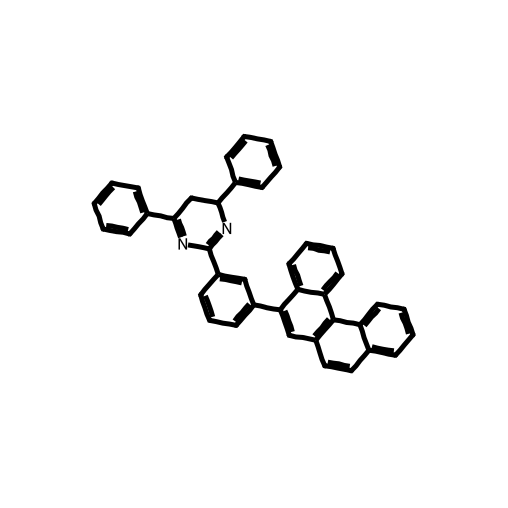 c1ccc(C2=NC(c3cccc(-c4cc5ccc6ccccc6c5c5ccccc45)c3)=NC(c3ccccc3)C2)cc1